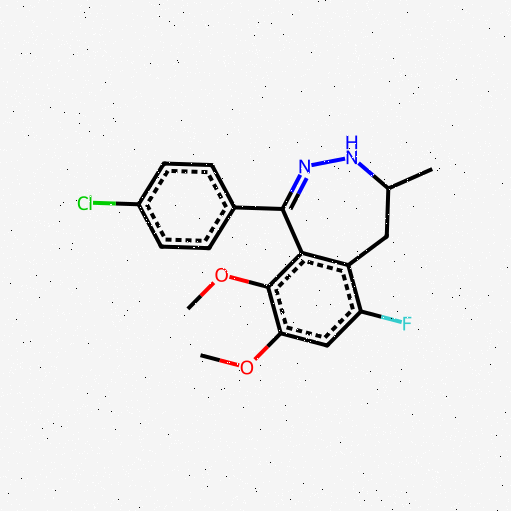 COc1cc(F)c2c(c1OC)C(c1ccc(Cl)cc1)=NNC(C)C2